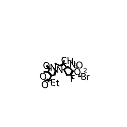 CC[C@H]1C(=O)OCc2c1cc1n(c2=O)CC2=C(C)C3=C([N+](=O)[O-])C(OCBr)=C(F)CC3N21